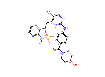 CN(c1ncccc1CCc1nc(Nc2ccc(C(=O)N3CCC(O)CC3)cc2)ncc1C(F)(F)F)S(C)(=O)=O